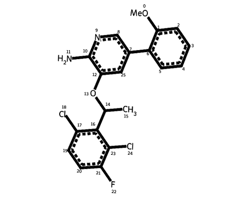 COc1ccccc1-c1cnc(N)c(OC(C)c2c(Cl)ccc(F)c2Cl)c1